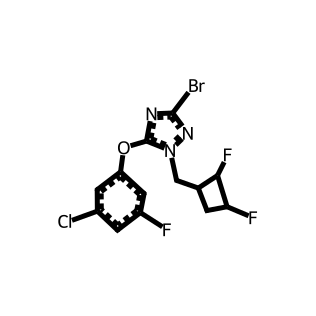 Fc1cc(Cl)cc(Oc2nc(Br)nn2CC2CC(F)C2F)c1